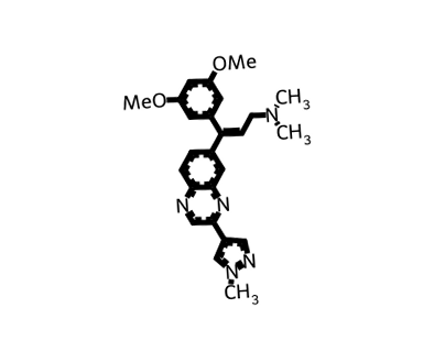 COc1cc(OC)cc(C(=CCN(C)C)c2ccc3ncc(-c4cnn(C)c4)nc3c2)c1